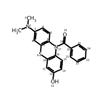 CN(C)c1ccc2c(c1)Sc1cc(O)ccc1N2C(=O)c1ccccc1